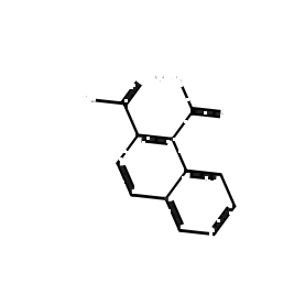 CNC(=O)c1c(C(N)=O)ccc2ccccc12